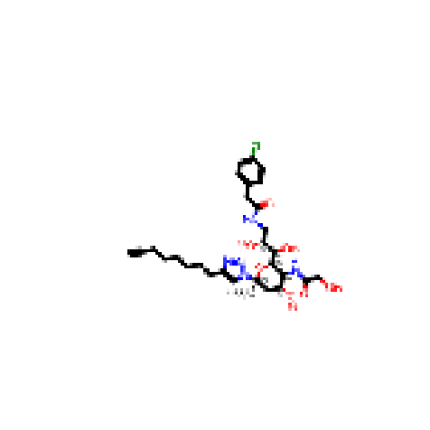 C#CCCCCCCc1cn([C@]2(C(=O)O)C[C@H](O)[C@@H](NC(=O)CO)[C@H]([C@H](O)[C@H](O)CNC(=O)Cc3ccc(Cl)cc3)O2)nn1